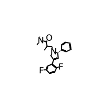 CC(CN1CC(c2cc(F)ccc2F)=C[C@H]1c1ccccc1)C(=O)N(C)C